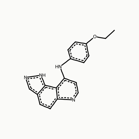 CCOc1ccc(Nc2ccnc3ccc4cn[nH]c4c23)cc1